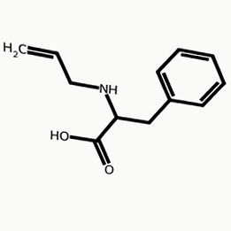 C=CCNC(Cc1ccccc1)C(=O)O